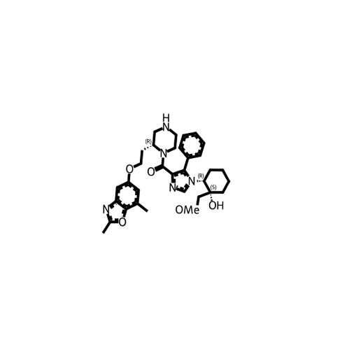 COC[C@]1(O)CCCC[C@H]1n1cnc(C(=O)N2CCNC[C@H]2CCOc2cc(C)c3oc(C)nc3c2)c1-c1ccccc1